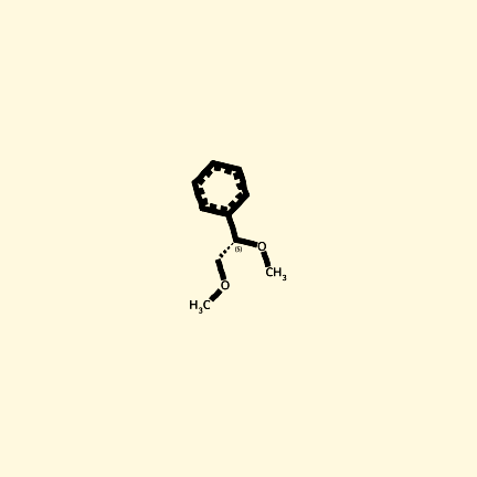 COC[C@@H](OC)c1ccccc1